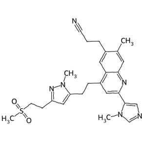 Cc1cc2nc(-c3cncn3C)cc(CCc3cc(CCS(C)(=O)=O)nn3C)c2cc1CCC#N